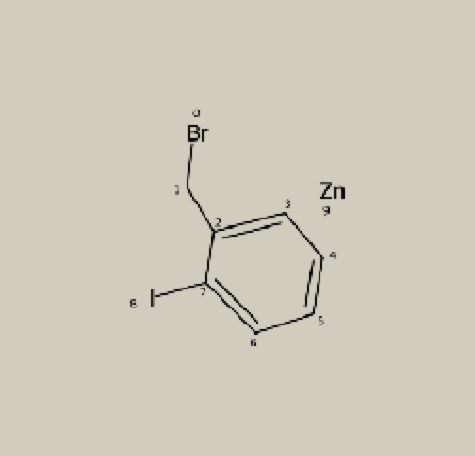 BrCc1ccccc1I.[Zn]